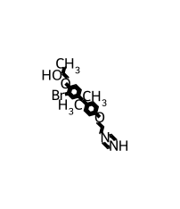 CCC(O)COc1ccc(C(C)(C)c2ccc(OCCCN3CCNCC3)cc2)cc1Br